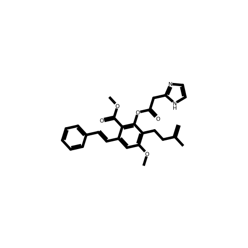 C=C(C)CCc1c(OC)cc(C=Cc2ccccc2)c(C(=O)OC)c1OC(=O)Cc1ncc[nH]1